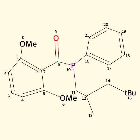 COc1cccc(OC)c1C(=O)P(CC(C)CC(C)(C)C)c1ccccc1